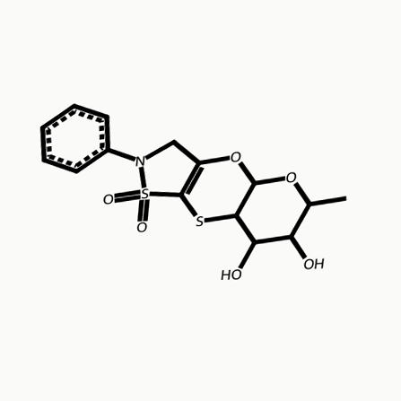 CC1OC2OC3=C(SC2C(O)C1O)S(=O)(=O)N(c1ccccc1)C3